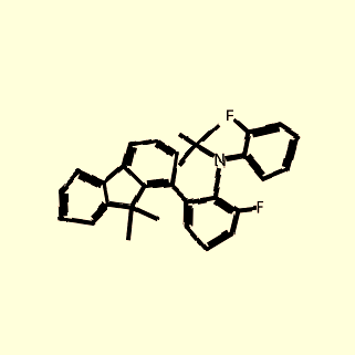 CC1(C)c2ccccc2-c2cccc(-c3cccc(F)c3N(c3ccccc3F)C(C)(C)C)c21